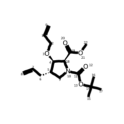 C=CCO[C@@H]1[C@@H](CC=C)CN(C(=O)OC(C)(C)C)[C@@H]1C(=O)OC